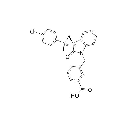 C[C@@]1(c2ccc(Cl)cc2)C[C@@]12C(=O)N(Cc1cccc(C(=O)O)c1)c1ccccc12